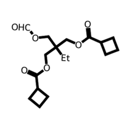 CCC(COC=O)(COC(=O)C1CCC1)COC(=O)C1CCC1